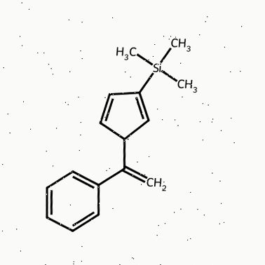 C=C([C]1C=CC([Si](C)(C)C)=C1)c1ccccc1